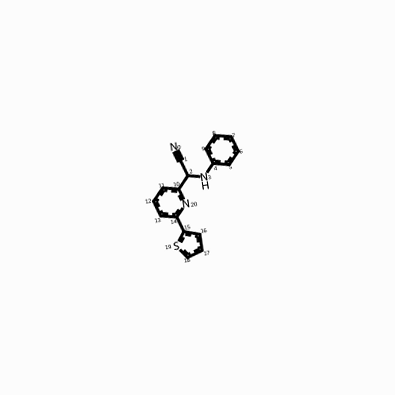 N#CC(Nc1ccccc1)c1cccc(-c2cccs2)n1